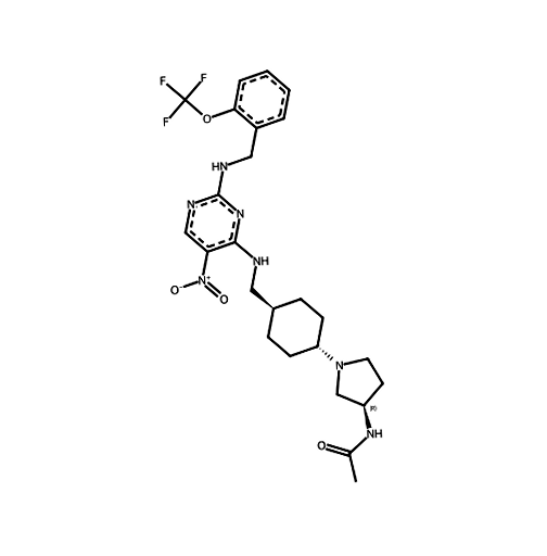 CC(=O)N[C@@H]1CCN([C@H]2CC[C@H](CNc3nc(NCc4ccccc4OC(F)(F)F)ncc3[N+](=O)[O-])CC2)C1